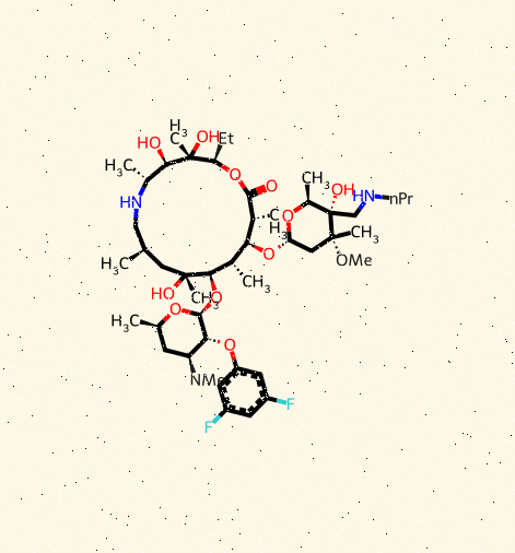 CCCNC[C@]1(O)[C@H](C)O[C@@H](O[C@H]2[C@H](C)[C@@H](O[C@@H]3O[C@H](C)C[C@H](NC)[C@H]3Oc3cc(F)cc(F)c3)[C@](C)(O)C[C@@H](C)CN[C@H](C)[C@@H](O)[C@](C)(O)[C@@H](CC)OC(=O)[C@@H]2C)C[C@@]1(C)OC